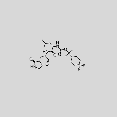 CC(C)C[C@H](NC(=O)OC(C)(C)C1CCC(F)(F)CC1)C(=O)N[C@H](C=O)C[C@@H]1CCNC1=O